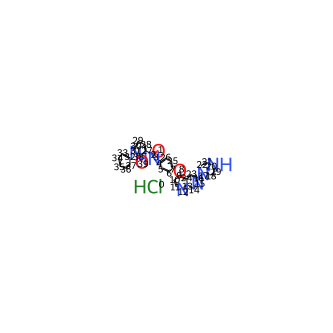 Cl.O=C(Nc1ccc(Oc2ccnc3cnc(N4CCNCC4)cc23)cc1)c1cccn(-c2ccccc2)c1=O